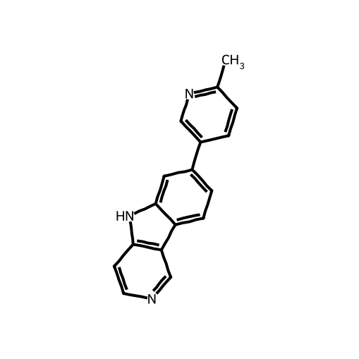 Cc1ccc(-c2ccc3c(c2)[nH]c2ccncc23)cn1